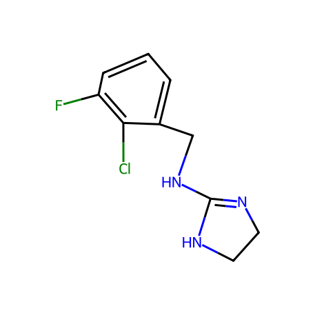 Fc1cccc(CNC2=NCCN2)c1Cl